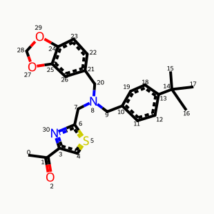 CC(=O)c1csc(CN(Cc2ccc(C(C)(C)C)cc2)Cc2ccc3c(c2)OCO3)n1